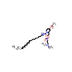 CCCCCCCCCCCCCCCCCCNC(=O)N1CCC(OC(C)=O)CC1CCON(C=O)CCCN(C)C